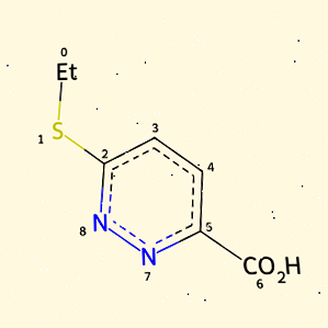 CCSc1ccc(C(=O)O)nn1